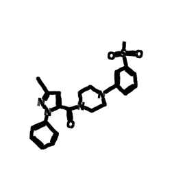 Cc1cc(C(=O)N2CCN(c3cccc(S(C)(=O)=O)c3)CC2)n(-c2ccccc2)n1